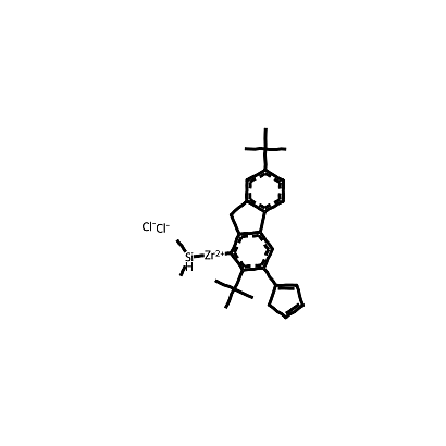 C[SiH](C)[Zr+2][c]1c2c(cc(C3=CC=CC3)c1C(C)(C)C)-c1ccc(C(C)(C)C)cc1C2.[Cl-].[Cl-]